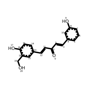 O=C(/C=C/c1cccc(O)c1)/C=C/c1ccc(O)c(CO)c1